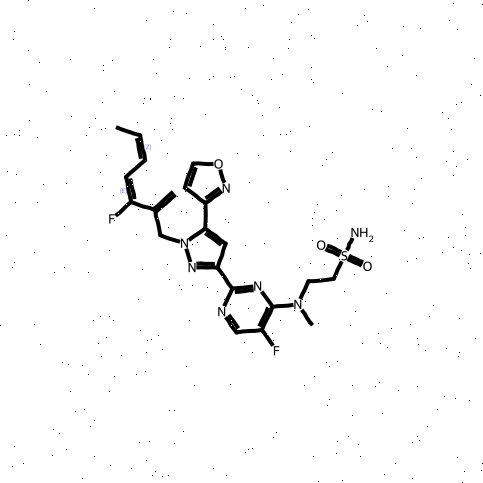 C=C(Cn1nc(-c2ncc(F)c(N(C)CCS(N)(=O)=O)n2)cc1-c1ccon1)/C(F)=C\C=C/C